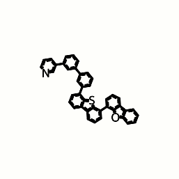 c1cncc(-c2cccc(-c3cccc(-c4cccc5c4sc4c(-c6cccc7c6oc6ccccc67)cccc45)c3)c2)c1